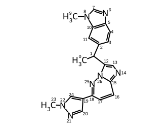 CC(c1ccc2ncn(C)c2c1)c1cnc2ccc(-c3cnn(C)c3)nn12